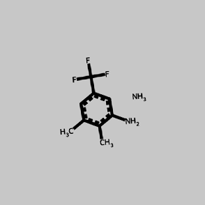 Cc1cc(C(F)(F)F)cc(N)c1C.N